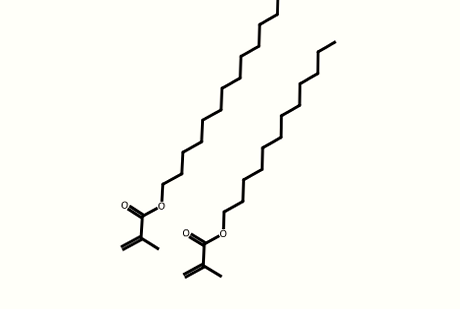 C=C(C)C(=O)OCCCCCCCCCCCC.C=C(C)C(=O)OCCCCCCCCCCCCC